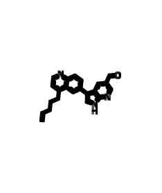 C=CCCCc1ccnc2ccc(-c3c[nH]c4ncc(C=O)cc34)cc12